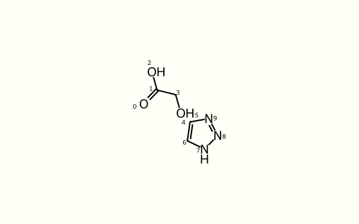 O=C(O)CO.c1c[nH]nn1